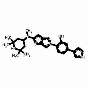 CN(c1cc2nn(-c3ccc(-c4cn[nH]c4)cc3O)cc2s1)C1CC(C)(C)NC(C)(C)C1